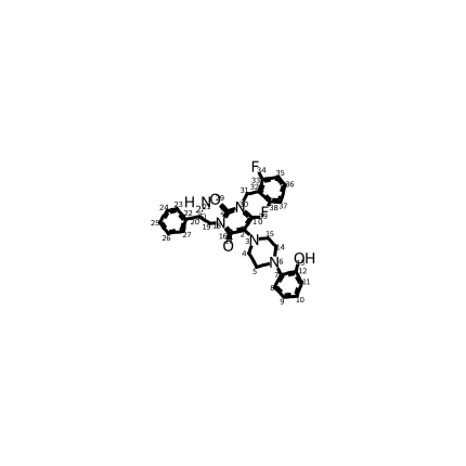 Cc1c(N2CCN(c3ccccc3O)CC2)c(=O)n(C[C@@H](N)c2ccccc2)c(=O)n1Cc1c(F)cccc1F